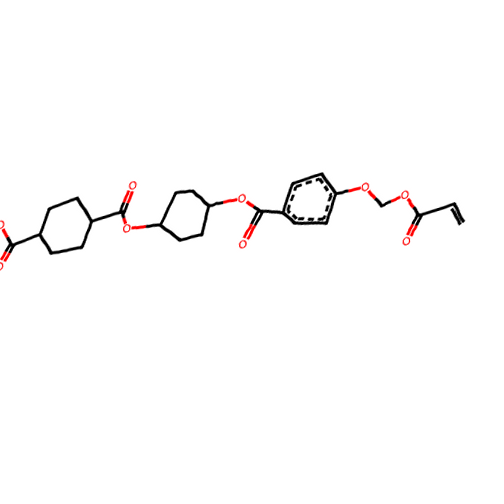 C=CC(=O)OCOc1ccc(C(=O)OC2CCC(OC(=O)C3CCC(C(=O)O)CC3)CC2)cc1